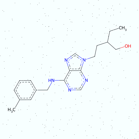 CCC(CO)CCn1cnc2c(NCc3cccc(C)c3)ncnc21